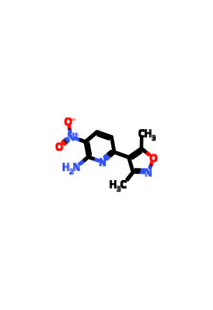 Cc1noc(C)c1-c1ccc([N+](=O)[O-])c(N)n1